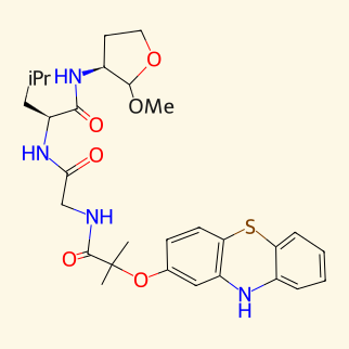 COC1OCC[C@@H]1NC(=O)[C@H](CC(C)C)NC(=O)CNC(=O)C(C)(C)Oc1ccc2c(c1)Nc1ccccc1S2